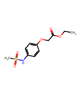 CCOC(=O)COc1ccc(NS(C)(=O)=O)cc1